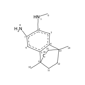 CNc1cc2c(cc1N)C1(C)CCC2(C)CC1